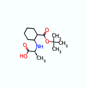 C[C@H](NC1CCCCC1C(=O)OC(C)(C)C)C(=O)O